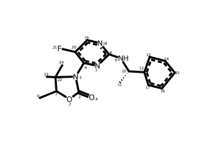 CC1OC(=O)N(c2nc(N[C@@H](C)c3ccccc3)ncc2F)C1(C)C